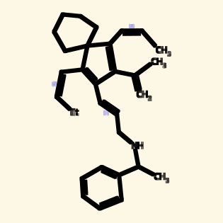 C=C(C)C1=C(/C=C\C)C2(CCCCC2)C(/C=C\CC)=C1/C=C/CNC(C)c1ccccc1